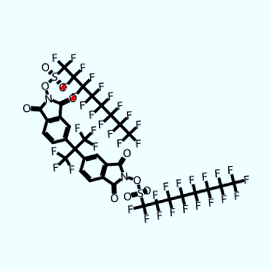 O=C1c2ccc(C(c3ccc4c(c3)C(=O)N(OS(=O)(=O)C(F)(F)C(F)(F)C(F)(F)C(F)(F)C(F)(F)C(F)(F)C(F)(F)C(F)(F)F)C4=O)(C(F)(F)F)C(F)(F)F)cc2C(=O)N1OS(=O)(=O)C(F)(F)C(F)(F)C(F)(F)C(F)(F)C(F)(F)C(F)(F)C(F)(F)C(F)(F)F